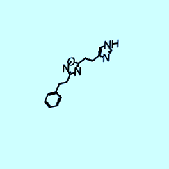 c1ccc(CCc2noc(CCc3c[nH]cn3)n2)cc1